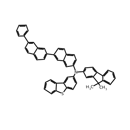 CC1(C)c2ccccc2-c2ccc(N(c3ccc4ccc(-c5ccc6ccc(-c7ccccc7)cc6c5)cc4c3)c3ccc4sc5ccccc5c4c3)cc21